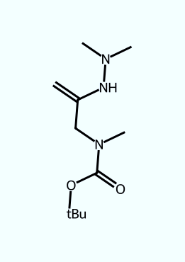 C=C(CN(C)C(=O)OC(C)(C)C)NN(C)C